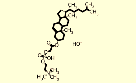 CC(C)CCC[C@@H](C)[C@H]1CCC2C3CC=C4C[C@@H](OC(=O)COP(=O)(O)OCC[N+](C)(C)C)CC[C@]4(C)C3CC[C@@]21C.[OH-]